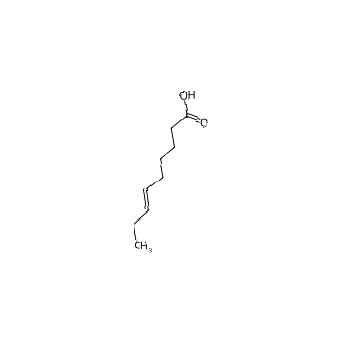 CCC=CCCCCC(=O)O